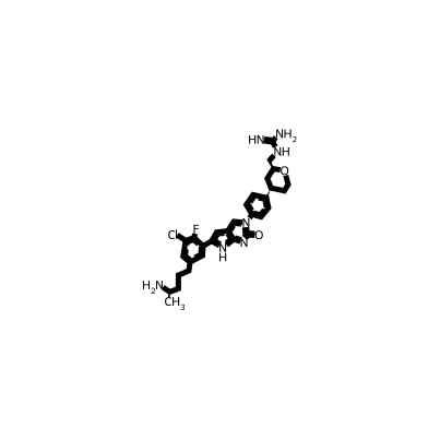 C[C@H](N)CCCc1cc(Cl)c(F)c(-c2cc3cn(-c4ccc([C@H]5CCO[C@H](CNC(=N)N)C5)cc4)c(=O)nc3[nH]2)c1